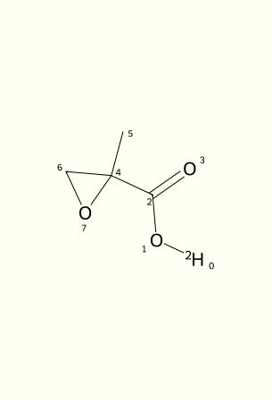 [2H]OC(=O)C1(C)CO1